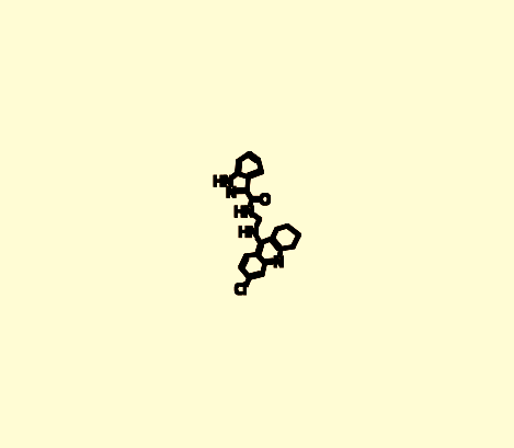 O=C(NCNc1c2c(nc3cc(Cl)ccc13)CCCC2)c1n[nH]c2ccccc12